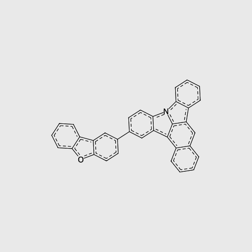 c1ccc2c(c1)cc1c3ccccc3n3c4ccc(-c5ccc6oc7ccccc7c6c5)cc4c2c13